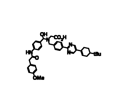 COc1ccc(CC(=O)Nc2ccc(C(O)N(CC(=O)O)Cc3ccc(-c4ncc(C5=CCC(C(C)(C)C)CC5)cn4)cc3)cc2)cc1